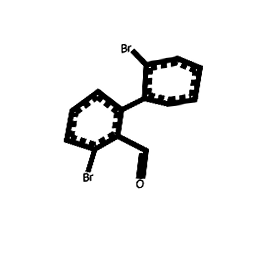 O=Cc1c(Br)cccc1-c1ccccc1Br